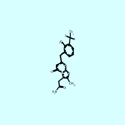 Cc1sc2nc(Cc3cccc(C(C)(F)F)c3F)cc(=O)n2c1CC(N)=O